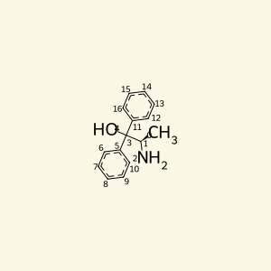 C[C@@H](N)C(O)(c1ccccc1)c1ccccc1